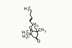 CCCC=CCON1C(C)(C)CC(=O)CC1(C)C